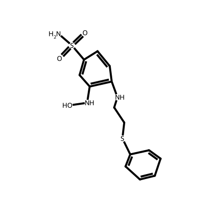 NS(=O)(=O)c1ccc(NCCSc2ccccc2)c(NO)c1